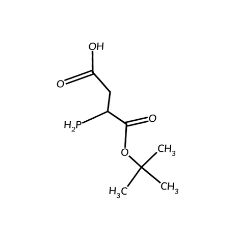 CC(C)(C)OC(=O)C(P)CC(=O)O